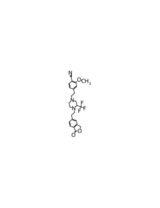 COc1cc(CCN2CCN(CCc3ccc4c(c3)COC4=O)C(C(F)(F)F)C2)ccc1C#N